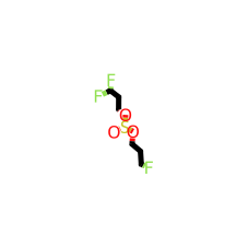 O=S(OCCCF)OCCC(F)F